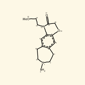 BN1CCc2cc3c(cc2CC1)N(CCOC)C(=O)CO3